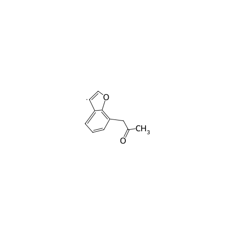 CC(=O)Cc1cccc2[c]coc12